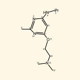 Cc1nc(NC(C)C)cc(OCCN(C)C)n1